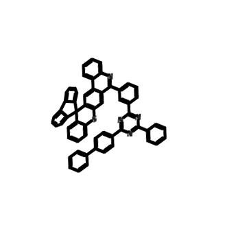 c1ccc(-c2ccc(-c3nc(-c4ccccc4)nc(-c4cccc(-c5nc6ccccc6c6cc7c(cc56)Sc5ccccc5C75c6ccccc6-c6ccccc65)c4)n3)cc2)cc1